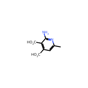 Cc1cc(C(=O)O)c(C(=O)O)c(N)n1